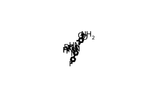 Cc1cc(S(N)(=O)=O)ccc1CNc1nc(NC2(C(F)(F)F)CC2)c2nc(-c3ccc(F)cc3)ccc2n1